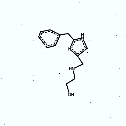 OCCNCc1c[nH]c(Cc2ccccc2)n1